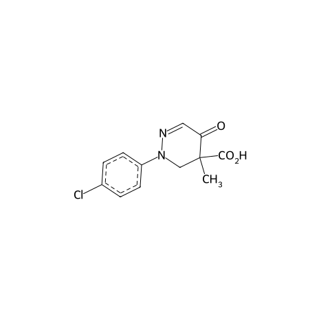 CC1(C(=O)O)CN(c2ccc(Cl)cc2)N=CC1=O